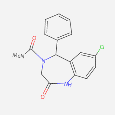 CNC(=O)N1CC(=O)Nc2ccc(Cl)cc2C1c1ccccc1